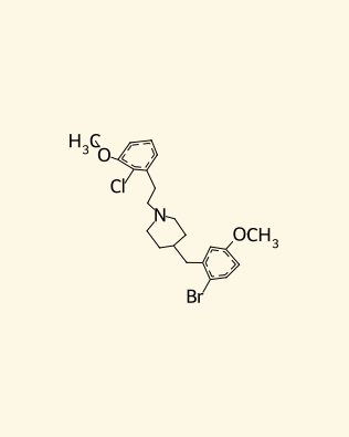 COc1ccc(Br)c(CC2CCN(CCc3cccc(OC)c3Cl)CC2)c1